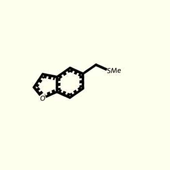 CSCc1ccc2occc2c1